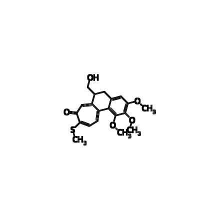 COc1cc2c(c(OC)c1OC)-c1ccc(SC)c(=O)cc1C(CO)C2